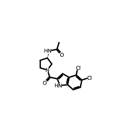 CC(=O)N[C@H]1CCN(C(=O)c2cc3c(Cl)c(Cl)ccc3[nH]2)C1